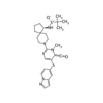 CN1C(=C=O)C(Sc2ccn3nccc3c2)=CN=C1N1CCC2(CCC[C@H]2N[S@+]([O-])C(C)(C)C)CC1